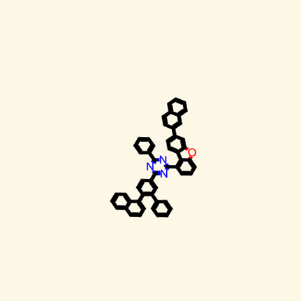 c1ccc(-c2nc(-c3ccc(-c4cccc5ccccc45)c(-c4ccccc4)c3)nc(-c3cccc4oc5cc(-c6ccc7ccccc7c6)ccc5c34)n2)cc1